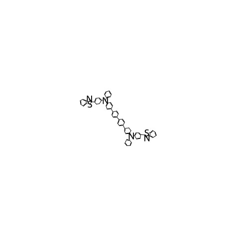 C1=C(c2ccc(-c3ccc(-c4ccc(N(C5=CC=C(c6nc7ccccc7s6)CC5)c5ccccc5)cc4)cc3)cc2)CCC(N(c2ccccc2)c2ccc(-c3nc4ccccc4s3)cc2)=C1